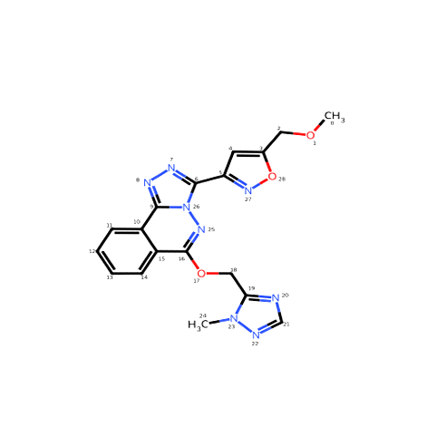 COCc1cc(-c2nnc3c4ccccc4c(OCc4ncnn4C)nn23)no1